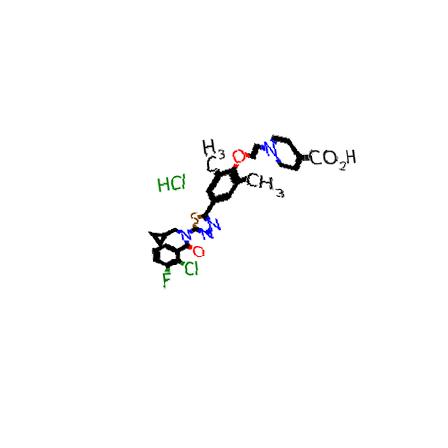 Cc1cc(-c2nnc(N(CC3CC3)C(=O)c3cccc(F)c3Cl)s2)cc(C)c1OCCN1CCC(C(=O)O)CC1.Cl